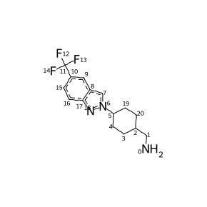 NCC1CCC(n2cc3cc(C(F)(F)F)ccc3n2)CC1